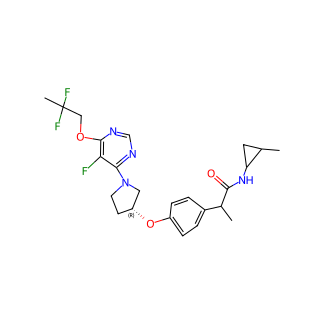 CC(C(=O)NC1CC1C)c1ccc(O[C@@H]2CCN(c3ncnc(OCC(C)(F)F)c3F)C2)cc1